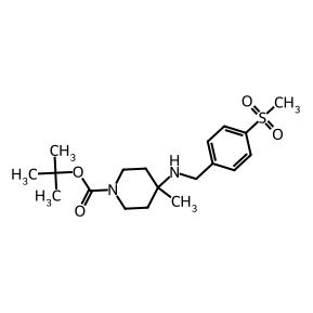 CC1(NCc2ccc(S(C)(=O)=O)cc2)CCN(C(=O)OC(C)(C)C)CC1